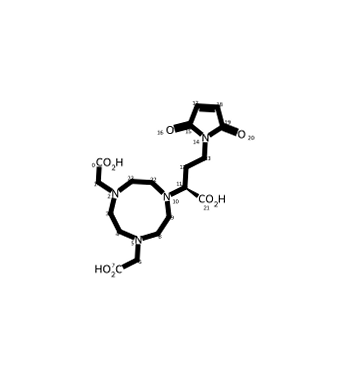 O=C(O)CN1CCN(CC(=O)O)CCN([C@@H](CCN2C(=O)C=CC2=O)C(=O)O)CC1